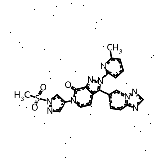 Cc1cccc(-n2nc3c(=O)n(-c4cnn(S(C)(=O)=O)c4)ccc3c2-c2ccc3ncnn3c2)n1